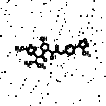 Cc1cc([C@H](C(=O)N2C[C@H](O)C[C@H]2C(=O)NCc2ccc(-c3conc3C)cc2)C(C)C)on1